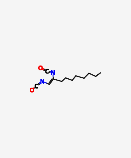 CCCCCCCCC(=CN=C=O)N=C=O